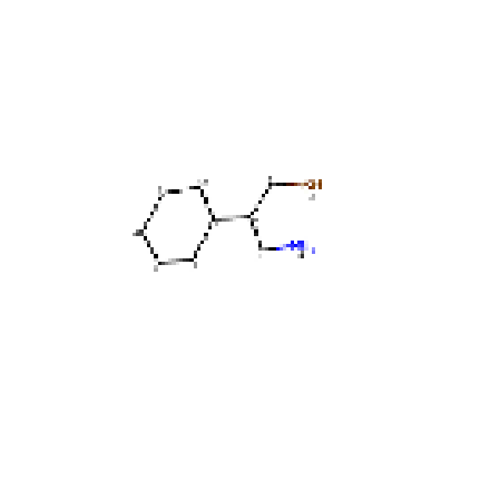 NCC(CS)C1CCCCC1